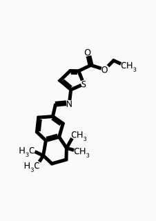 CCOC(=O)c1ccc(N=Cc2ccc3c(c2)C(C)(C)CCC3(C)C)s1